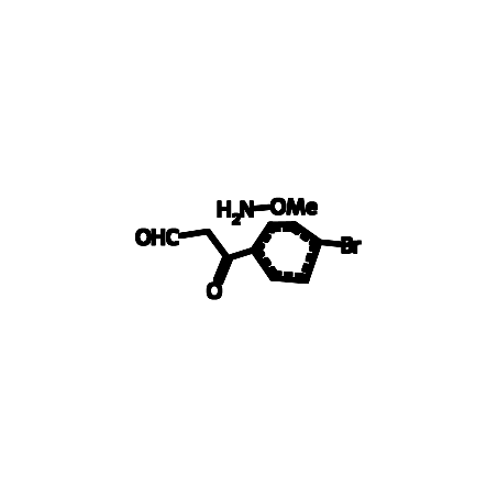 CON.O=CCC(=O)c1ccc(Br)cc1